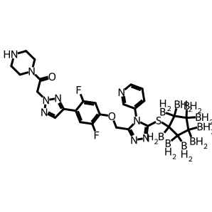 BC1(B)C(B)(B)C(B)(B)C(B)(Sc2nnc(COc3cc(F)c(-c4cnn(CC(=O)N5CCNCC5)n4)cc3F)n2-c2cccnc2)C1(B)B